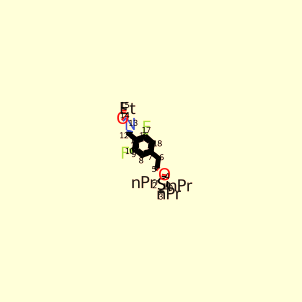 CCC[Si](CCC)(CCC)OCCc1cc(F)c(C=NOCC)c(F)c1